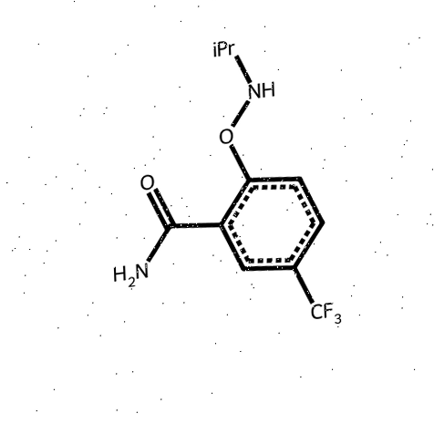 CC(C)NOc1ccc(C(F)(F)F)cc1C(N)=O